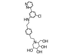 OCC1C(O)C(O)C(O)CN1CCc1ccc(CCNc2cc(Cl)cc(-c3cccnn3)c2)cc1